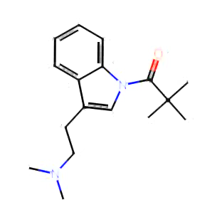 CN(C)CCc1cn(C(=O)C(C)(C)C)c2ccccc12